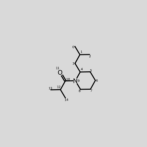 CC(C)CC1CCCCN1C(=O)C(C)C